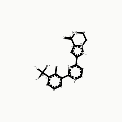 Cc1c(-c2nccc(-c3cc4n(n3)CCNC4=O)n2)cccc1C(F)(F)F